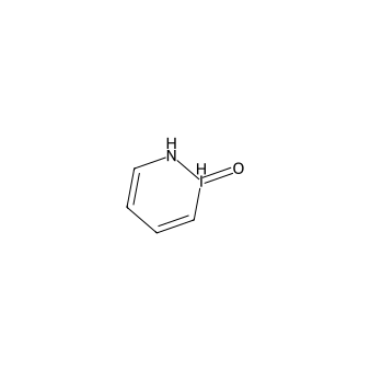 O=[IH]1C=CC=CN1